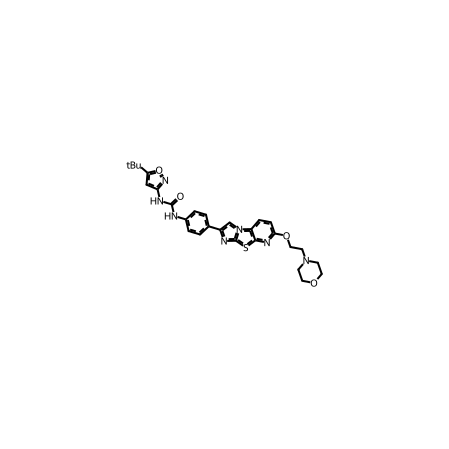 CC(C)(C)c1cc(NC(=O)Nc2ccc(-c3cn4c(n3)sc3nc(OCCN5CCOCC5)ccc34)cc2)no1